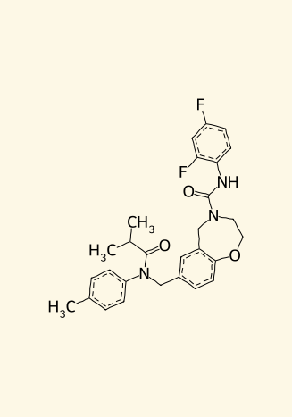 Cc1ccc(N(Cc2ccc3c(c2)CN(C(=O)Nc2ccc(F)cc2F)CCO3)C(=O)C(C)C)cc1